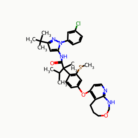 CSc1cc(Oc2ccnc3c2CCCOCN3)ccc1C(C)(C(=O)Nc1cc(C(C)(C)C)nn1-c1cccc(Cl)c1)C(C)C